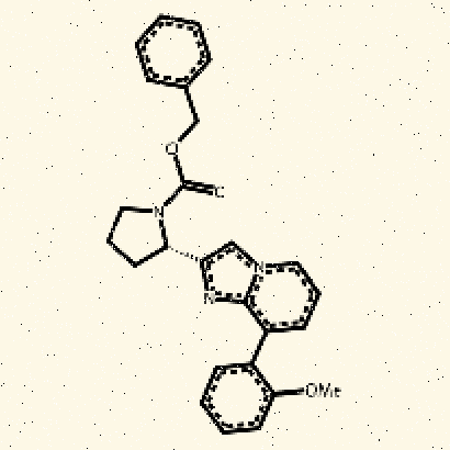 COc1ccccc1-c1cccn2cc([C@@H]3CCCN3C(=O)OCc3ccccc3)nc12